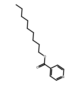 CCCCCCCCCOC(=O)c1ccncc1